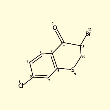 O=C1c2ccc(Cl)cc2SCC1Br